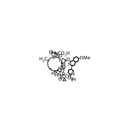 COc1ccc2c(O[C@@H]3C[C@H]4C(=O)N[C@]5(C(=O)NS(=O)(=O)C6(C)CC6)C[C@H]5/C=C\CC[C@H](C)C[C@@H](C)[C@H](N(C(=O)O)C(C)(C)C)C(=O)N4C3)nc(-c3ccc(OC(C)C)nc3)cc2c1